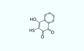 O=C1C(=O)c2ccccc2C(O)=C1S